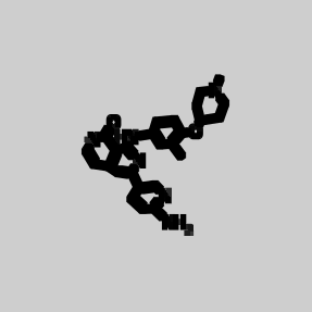 Cc1cc(Nc2nc(-c3ccc(N)nc3)cc3c2C(=O)[N]C=C3)ccc1OC1CCN(C)CC1